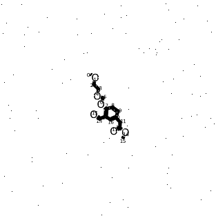 COCCOCOc1ccc(CC(=O)OC)cc1C=O